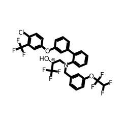 O[C@H](CN(Cc1cccc(OC(F)(F)C(F)F)c1)c1ccccc1-c1cccc(Oc2ccc(Cl)c(C(F)(F)F)c2)c1)C(F)(F)F